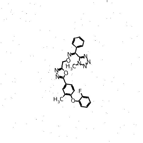 Cc1cc(-c2nnc(CO/N=C(/c3ccccc3)c3nnnn3C)o2)ccc1Oc1ccccc1F